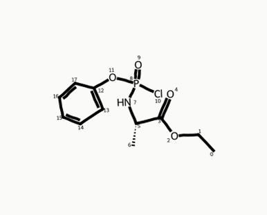 CCOC(=O)[C@H](C)NP(=O)(Cl)Oc1ccccc1